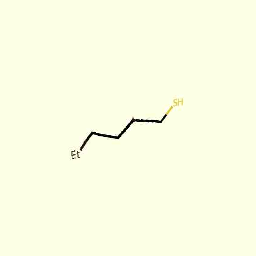 CCCC[CH]CS